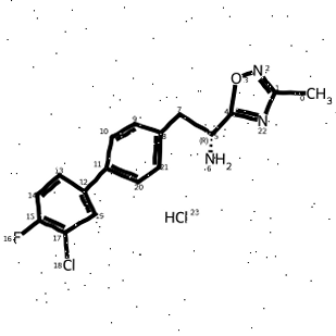 Cc1noc([C@H](N)Cc2ccc(-c3ccc(F)c(Cl)c3)cc2)n1.Cl